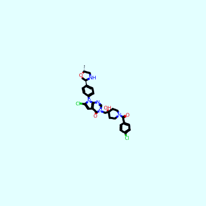 C[C@@H]1CN[C@@H](c2ccc(-n3c(Cl)cc4c(=O)n(CC5(O)CCN(C(=O)c6ccc(Cl)cc6)CC5)cnc43)cc2)CO1